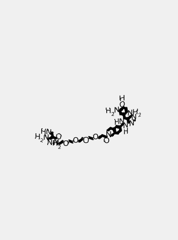 CN(CCOCCOCCOCCOCCC(=O)N1CCc2cc(CNc3ncnc(N)c3C(=N)c3ccc(O)c(N)c3)ccc2C1)C(=O)C(C=N)=C(N)N